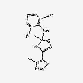 Cc1ncsc1C1=CSC(C)(Nc2c(C(C)C)cccc2C(C)C)N1